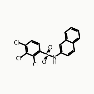 O=S(=O)(Nc1ccc2ccccc2c1)c1ccc(Cl)c(Cl)c1Cl